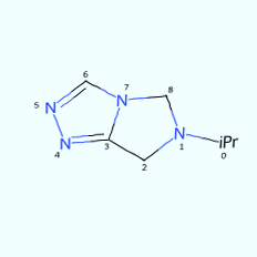 CC(C)N1Cc2nncn2C1